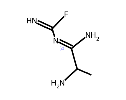 CC(N)/C(N)=N/C(=N)F